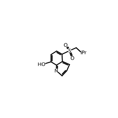 CC(C)CS(=O)(=O)c1ccc(O)c2ncccc12